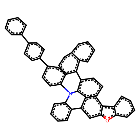 c1ccc(-c2ccc(-c3ccc(N(c4ccccc4-c4ccc5c(c4)oc4ccccc45)c4ccccc4-c4cccc5ccccc45)cc3)cc2)cc1